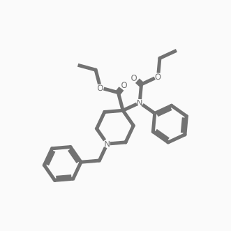 CCOC(=O)N(c1ccccc1)C1(C(=O)OCC)CCN(Cc2ccccc2)CC1